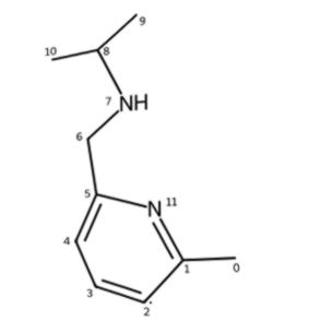 Cc1[c]ccc(CNC(C)C)n1